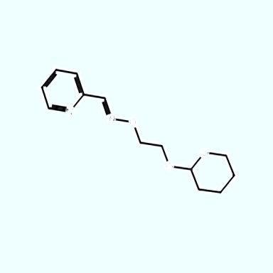 C(=NOCCOC1CCCCO1)c1ccccn1